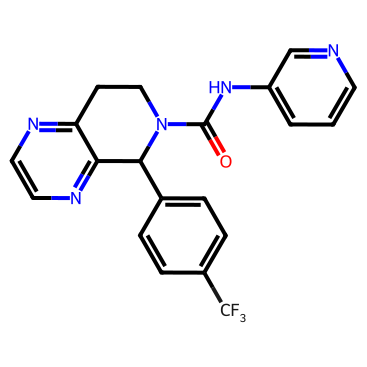 O=C(Nc1cccnc1)N1CCc2nccnc2C1c1ccc(C(F)(F)F)cc1